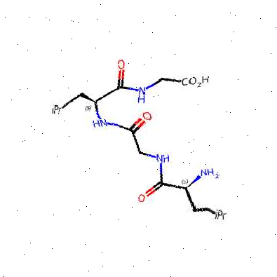 CC(C)C[C@H](NC(=O)CNC(=O)[C@@H](N)CC(C)C)C(=O)NCC(=O)O